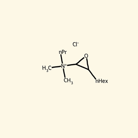 CCCCCCC1OC1[N+](C)(C)CCC.[Cl-]